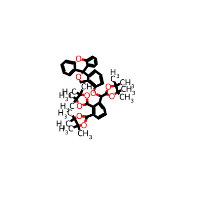 CC1(C)OC(c2cccc(C(Oc3cccc4c3COC43c4ccccc4Oc4ccccc43)C3OC(C)(C)C(C)(C)O3)c2C2OC(C)(C)C(C)(C)O2)OC1(C)C